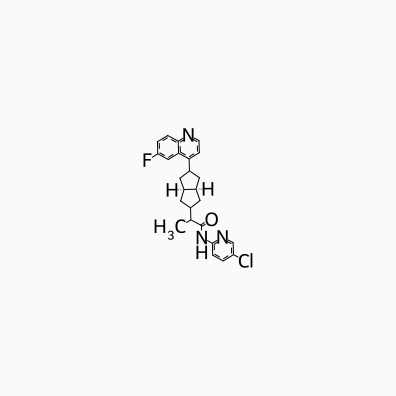 CC(C(=O)Nc1ccc(Cl)cn1)C1C[C@H]2CC(c3ccnc4ccc(F)cc34)C[C@H]2C1